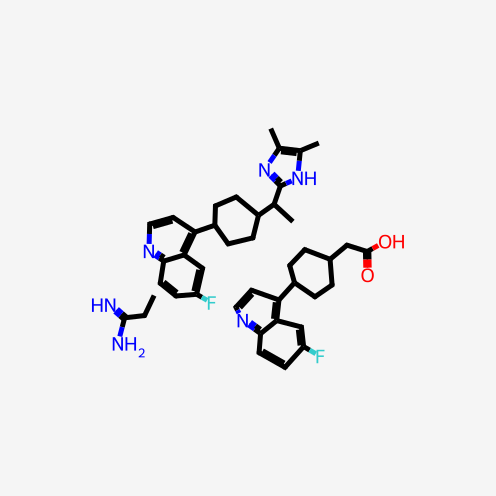 CCC(=N)N.Cc1nc(C(C)C2CCC(c3ccnc4ccc(F)cc34)CC2)[nH]c1C.O=C(O)CC1CCC(c2ccnc3ccc(F)cc23)CC1